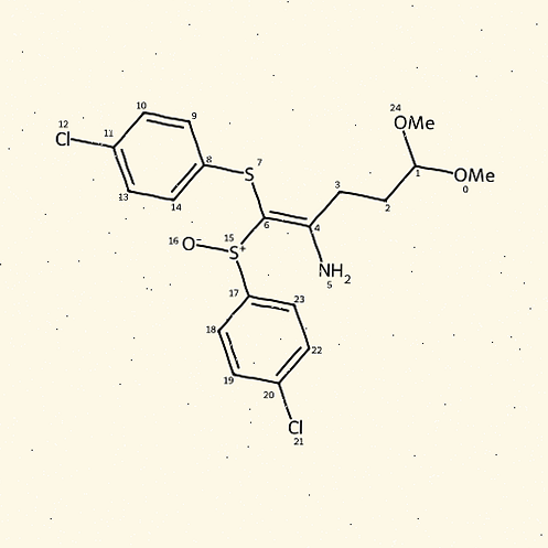 COC(CC/C(N)=C(\Sc1ccc(Cl)cc1)[S+]([O-])c1ccc(Cl)cc1)OC